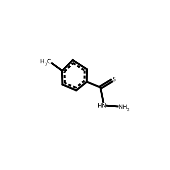 Cc1ccc(C(=S)NN)cc1